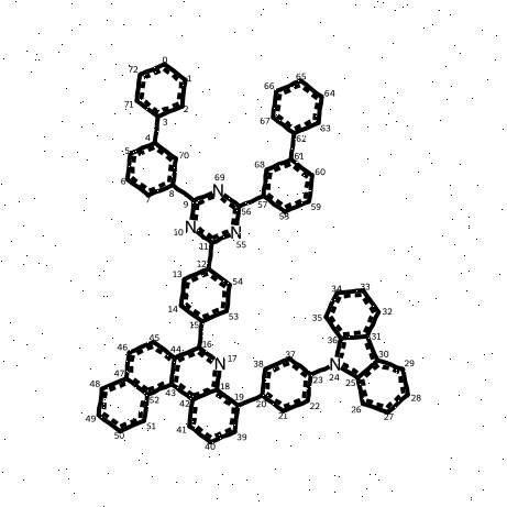 c1ccc(-c2cccc(-c3nc(-c4ccc(-c5nc6c(-c7ccc(-n8c9ccccc9c9ccccc98)cc7)cccc6c6c5ccc5ccccc56)cc4)nc(-c4cccc(-c5ccccc5)c4)n3)c2)cc1